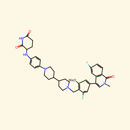 COc1cc(-c2cn(C)c(=O)c3ccc(F)cc23)cc(F)c1CN1CCC(C2CCN(c3ccc(NC4CCC(=O)NC4=O)cc3)CC2)CC1